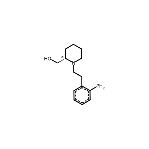 OC[C@@H]1CCCCN1CCc1ccccc1P